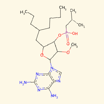 CCCCC(CCC)CC1OC(n2cnc3c(N)nc(N)nc32)C(OC)C1OP(=O)(O)CC(C)C